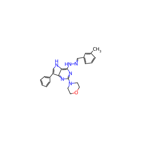 Cc1cccc(/C=N/Nc2nc(N3CCOCC3)nc3c(-c4ccccc4)c[nH]c23)c1